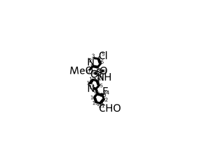 COc1ncc(Cl)cc1S(=O)(=O)Nc1ccnc(-c2ccc(C=O)cc2F)c1